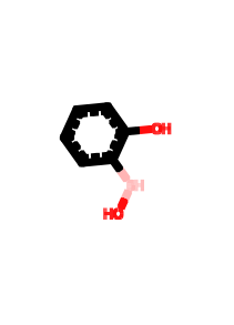 OBc1ccccc1O